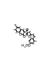 COc1ccc(/C=C\C(=O)CS(=O)(=O)c2cc3cc(I)ccc3oc2=O)cc1